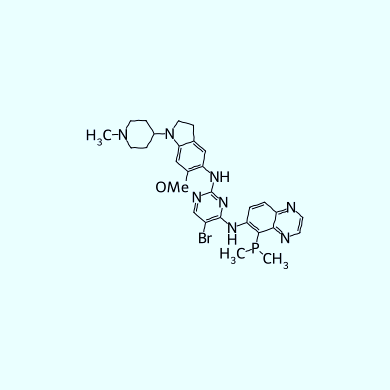 COc1cc2c(cc1Nc1ncc(Br)c(Nc3ccc4nccnc4c3P(C)C)n1)CCN2C1CCN(C)CC1